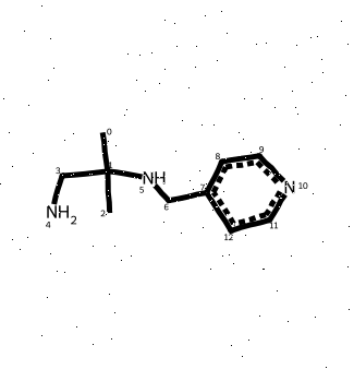 CC(C)(CN)NCc1ccncc1